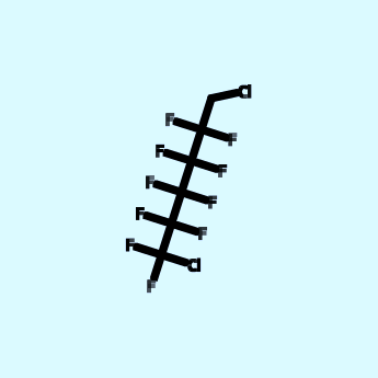 FC(F)(Cl)C(F)(F)C(F)(F)C(F)(F)C(F)(F)CCl